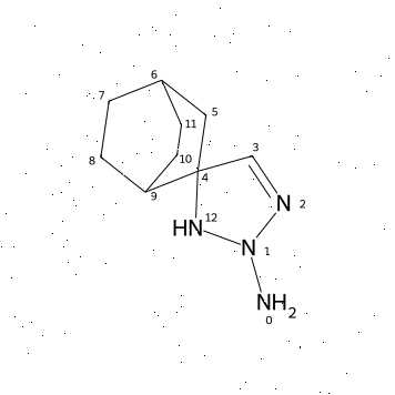 NN1N=CC2(CC3CCC2CC3)N1